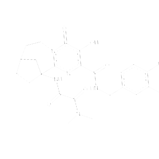 CN(C)C(=O)C(=O)NC12CCC(CCn3c1nc(C(=O)NCc1ccc(F)c(F)c1)c(O)c3=O)C2